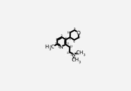 Cc1ccc(C2CCOCC2)c(CCN(C)C)n1